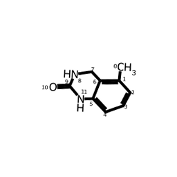 Cc1cccc2c1CNC(=O)N2